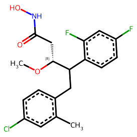 CO[C@H](CC(=O)NO)C(Cc1ccc(Cl)cc1C)c1ccc(F)cc1F